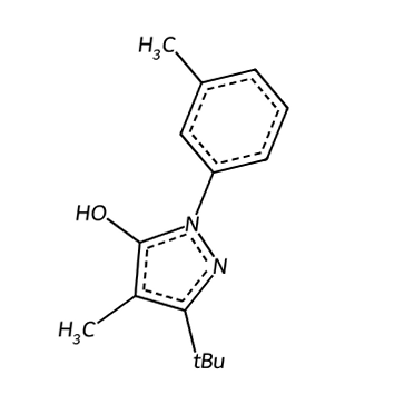 Cc1cccc(-n2nc(C(C)(C)C)c(C)c2O)c1